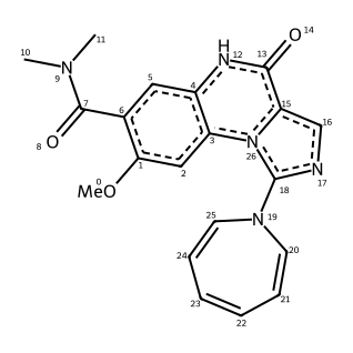 COc1cc2c(cc1C(=O)N(C)C)[nH]c(=O)c1cnc(N3C=CC=CC=C3)n12